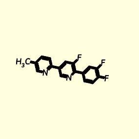 Cc1ccc(-c2cnc(-c3ccc(F)c(F)c3)c(F)c2)nc1